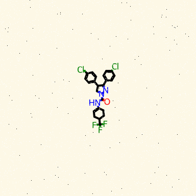 O=C(NC1=CCC(C(F)(F)F)CC1)N1CC(c2ccc(Cl)cc2)C(c2ccc(Cl)cc2)=N1